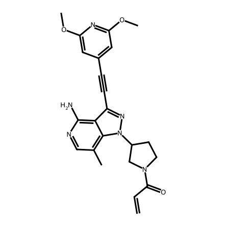 C=CC(=O)N1CCC(n2nc(C#Cc3cc(OC)nc(OC)c3)c3c(N)ncc(C)c32)C1